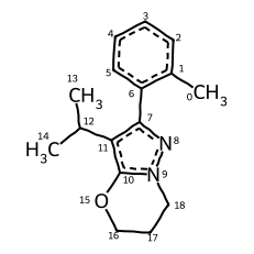 Cc1ccccc1-c1nn2c(c1C(C)C)OCCC2